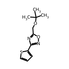 CC(C)(C)OCc1nc(-c2cccs2)no1